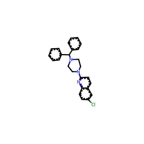 Clc1ccc2nc(N3CCN(C(c4ccccc4)c4ccccc4)CC3)[c]cc2c1